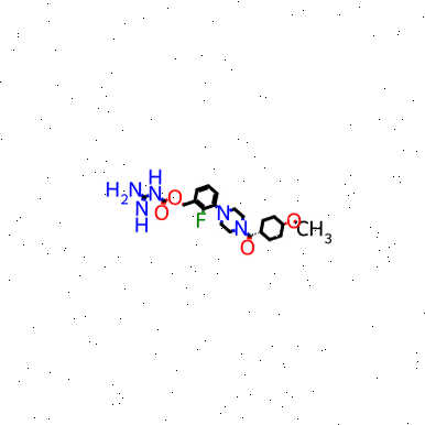 CO[C@H]1CC[C@H](C(=O)N2CCN(c3cccc(COC(=O)NC(=N)N)c3F)CC2)CC1